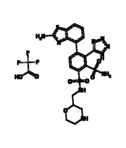 Nc1nc2c(-c3ccc(S(=O)(=O)NCC4CNCCO4)c(S(N)(=O)=O)c3-c3nnn[nH]3)cccc2s1.O=C(O)C(F)(F)F